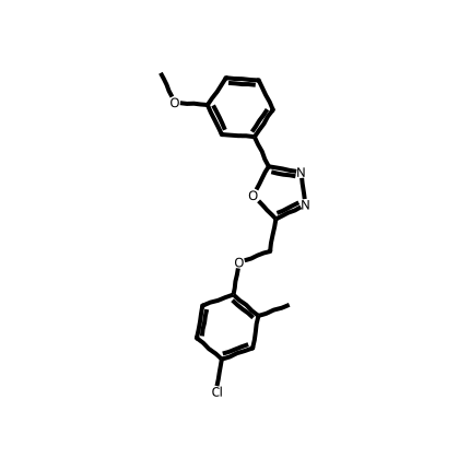 COc1cccc(-c2nnc(COc3ccc(Cl)cc3C)o2)c1